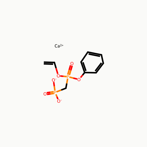 C=COP(=O)(CP(=O)([O-])[O-])Oc1ccccc1.[Ca+2]